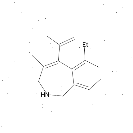 C=C(C)C1=C(C)CNCC(=C/C)/C1=C(\C)CC